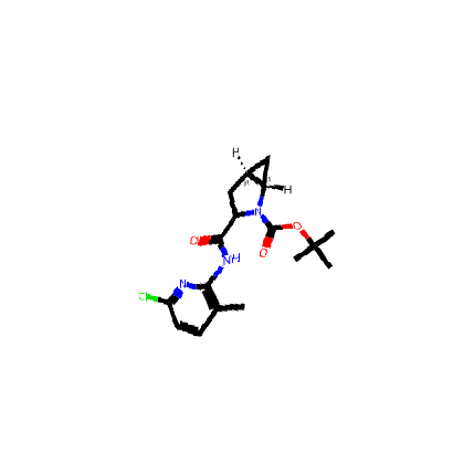 Cc1ccc(Cl)nc1NC(=O)C1C[C@H]2C[C@@H]2N1C(=O)OC(C)(C)C